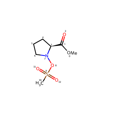 COC(=O)[C@@H]1CCCN1OS(C)(=O)=O